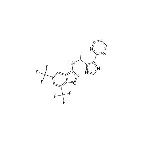 CC(Nc1noc2c(C(F)(F)F)cc(C(F)(F)F)cc12)c1ncnn1-c1ncccn1